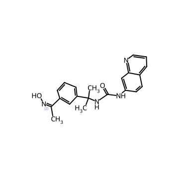 C/C(=N/O)c1cccc(C(C)(C)NC(=O)Nc2ccc3cccnc3c2)c1